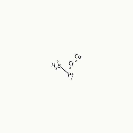 [BH2][Pt].[Co].[Cr]